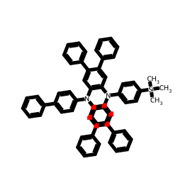 C[Si](C)(C)c1ccc(N(c2ccc(-c3ccccc3)cc2)c2cc(-c3ccccc3)c(-c3ccccc3)cc2N(c2ccc(-c3ccccc3)cc2)c2ccc(-c3ccccc3)cc2)cc1